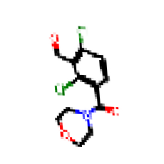 O=Cc1c(Cl)ccc(C(=O)N2CCOCC2)c1Cl